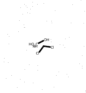 ClCCl.O=C(O)O.[KH]